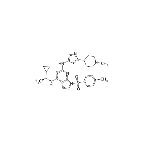 Cc1ccc(S(=O)(=O)n2ccc3c(N[C@@H](C)C4CC4)nc(Nc4cnn(C5CCN(C)CC5)c4)nc32)cc1